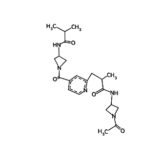 CC(=O)N1CC(NC(=O)C(C)Cc2cc(C(=O)N3CC(NC(=O)C(C)C)C3)ccn2)C1